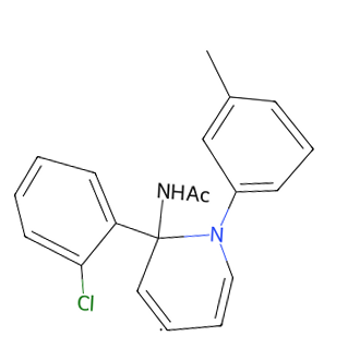 CC(=O)NC1(c2ccccc2Cl)C=[C]C=CN1c1cccc(C)c1